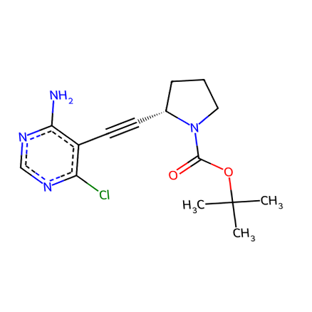 CC(C)(C)OC(=O)N1CCC[C@H]1C#Cc1c(N)ncnc1Cl